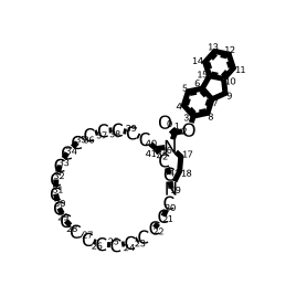 O=C(Oc1ccc2c(c1)Cc1ccccc1-2)N1CCN2CCCCCCCCCCCCCCCCCCCCCC1CC2